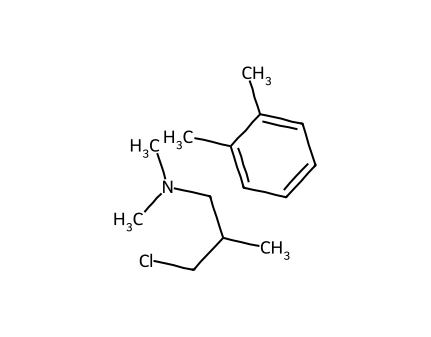 CC(CCl)CN(C)C.Cc1ccccc1C